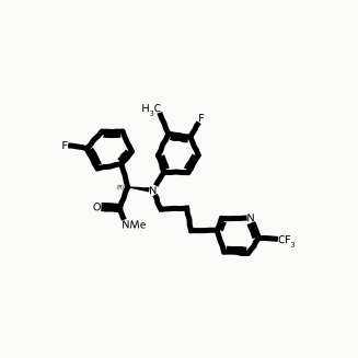 CNC(=O)[C@@H](c1cccc(F)c1)N(CCCc1ccc(C(F)(F)F)nc1)c1ccc(F)c(C)c1